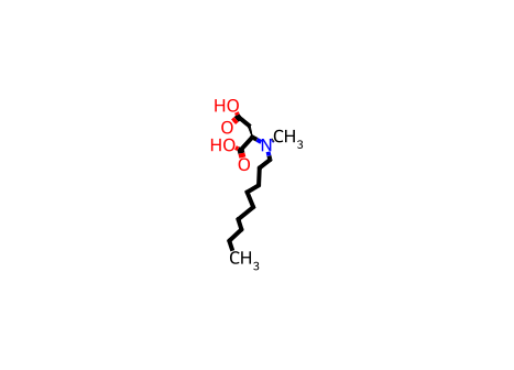 CCCCCCCCCN(C)[C@H](CC(=O)O)C(=O)O